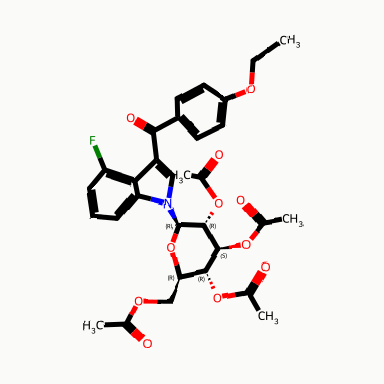 CCOc1ccc(C(=O)c2cn([C@@H]3O[C@H](COC(C)=O)[C@@H](OC(C)=O)[C@H](OC(C)=O)[C@H]3OC(C)=O)c3cccc(F)c23)cc1